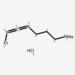 CCN=C=NCCCNC.Cl